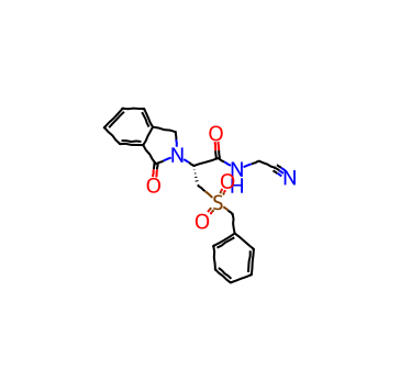 N#CCNC(=O)[C@H](CS(=O)(=O)Cc1ccccc1)N1Cc2ccccc2C1=O